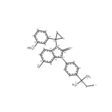 CC(C)(CF)c1ccc(-n2c(=O)n(C3(c4cccc(C(=O)O)c4)CC3)c3ccc(Cl)cc32)cc1